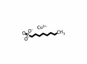 CCCCCCCCP(=O)([O-])[O-].[Cu+2]